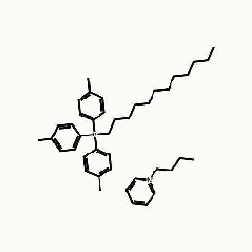 CCCCCCCCCCCC[B-](c1ccc(C)cc1)(c1ccc(C)cc1)c1ccc(C)cc1.CCCC[n+]1ccccc1